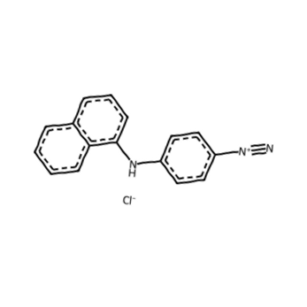 N#[N+]c1ccc(Nc2cccc3ccccc23)cc1.[Cl-]